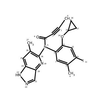 CC#CC(=O)N(c1cc(C)c(I)cc1OC1CC1)c1nc2cn[nH]c2cc1C